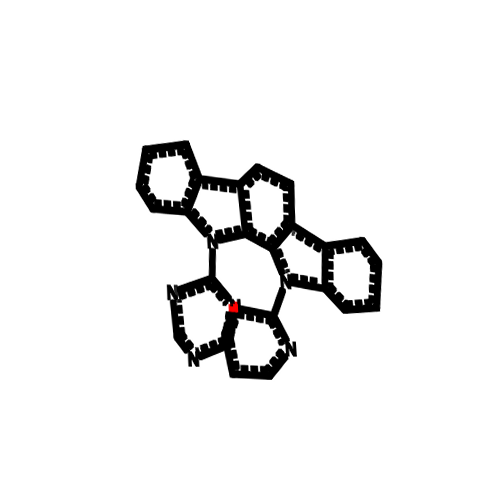 c1ccc(-n2c3ccccc3c3ccc4c5ccccc5n(-c5ncncn5)c4c32)nc1